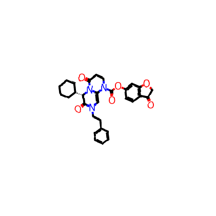 O=C1COc2cc(OC(=O)N3CCC(=O)N4C3=CN(CCc3ccccc3)C(=O)[C@@H]4C3CCCCC3)ccc21